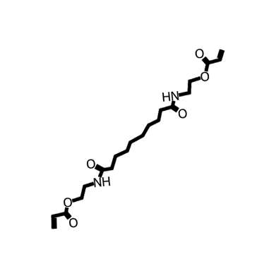 C=CC(=O)OCCNC(=O)CCCCCCCCC(=O)NCCOC(=O)C=C